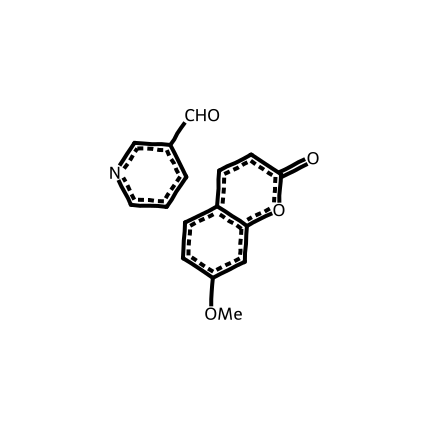 COc1ccc2ccc(=O)oc2c1.O=Cc1cccnc1